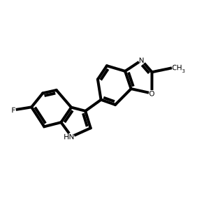 Cc1nc2ccc(-c3c[nH]c4cc(F)ccc34)cc2o1